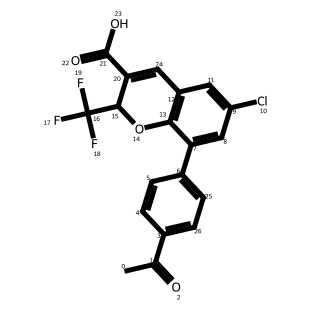 CC(=O)c1ccc(-c2cc(Cl)cc3c2OC(C(F)(F)F)C(C(=O)O)=C3)cc1